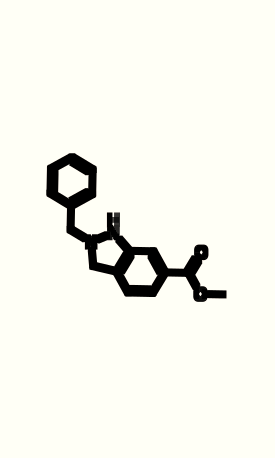 COC(=O)c1ccc2c(c1)NN(Cc1ccccc1)C2